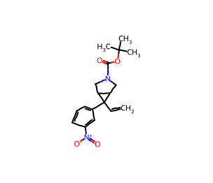 C=CC1(c2cccc([N+](=O)[O-])c2)C2CN(C(=O)OC(C)(C)C)CC21